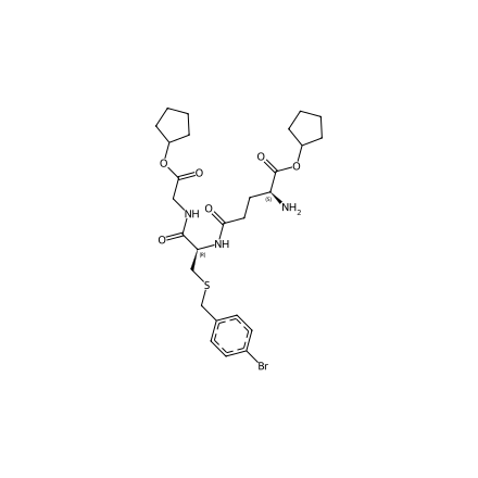 N[C@@H](CCC(=O)N[C@@H](CSCc1ccc(Br)cc1)C(=O)NCC(=O)OC1CCCC1)C(=O)OC1CCCC1